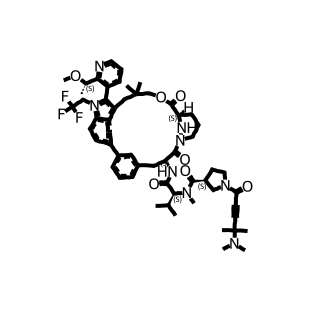 CO[C@@H](C)c1ncccc1-c1c2c3cc(ccc3n1CC(F)(F)F)-c1cccc(c1)C[C@H](NC(=O)[C@H](C(C)C)N(C)C(=O)[C@H]1CCN(C(=O)C#CC(C)(C)N(C)C)C1)C(=O)N1CCC[C@H](N1)C(=O)OCC(C)(C)C2